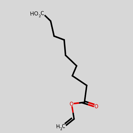 C=COC(=O)CCCCCCCC(=O)O